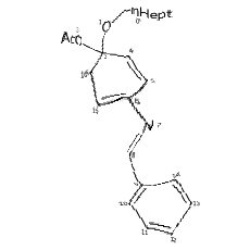 CCCCCCCOC1(OC(C)=O)C=CC(N=Cc2ccccc2)=CC1